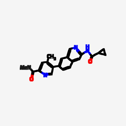 CNC(=O)c1cc(C)c(-c2ccc3cc(NC(=O)C4CC4)ncc3c2)cn1